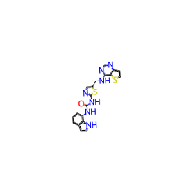 O=C(Nc1ncc(CNc2ncnc3ccsc23)s1)Nc1cccc2cc[nH]c12